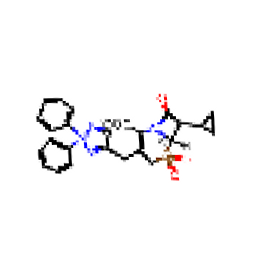 O=C([O-])C1=C(CC2=N[N+](c3ccccc3)(c3ccccc3)N=C2)CS(=O)(=O)[C@H]2C(C3CC3)C(=O)N12